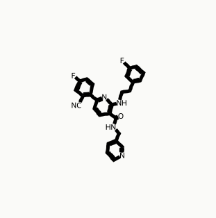 N#Cc1cc(F)ccc1-c1ccc(C(=O)NCc2cccnc2)c(NCCc2cccc(F)c2)n1